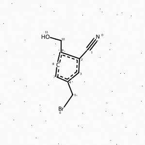 N#Cc1cc(CBr)ccc1CO